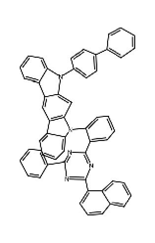 c1ccc(-c2ccc(-n3c4ccccc4c4cc5c6ccccc6n(-c6ccccc6-c6nc(-c7ccccc7)nc(-c7cccc8ccccc78)n6)c5cc43)cc2)cc1